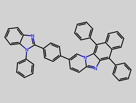 c1ccc(-c2c3ccccc3c(-c3ccccc3)c3c2nc2ccc(-c4ccc(-c5nc6ccccc6n5-c5ccccc5)cc4)cn23)cc1